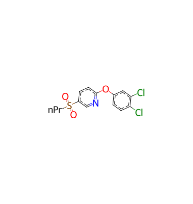 CCCS(=O)(=O)c1ccc(Oc2ccc(Cl)c(Cl)c2)nc1